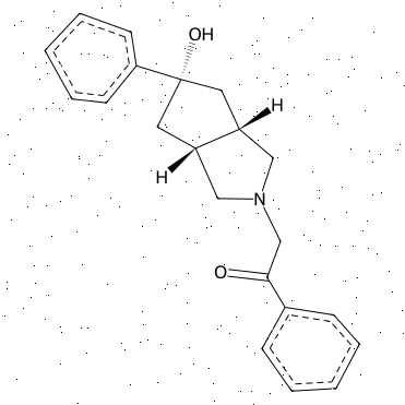 O=C(CN1C[C@@H]2C[C@@](O)(c3ccccc3)C[C@@H]2C1)c1ccccc1